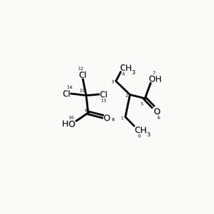 CCC(CC)C(=O)O.O=C(O)C(Cl)(Cl)Cl